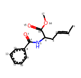 CC=CCC(NC(=O)c1ccccc1)C(=O)OC